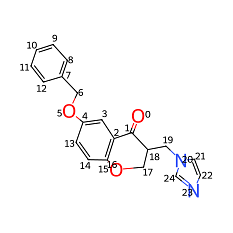 O=C1c2cc(OCc3ccccc3)ccc2OCC1Cn1ccnc1